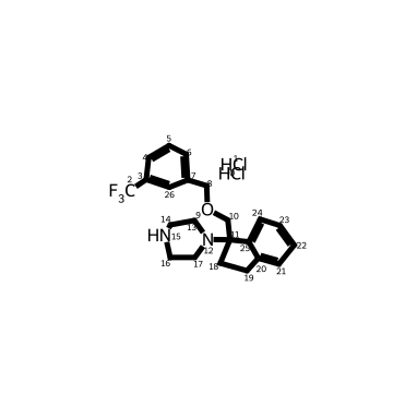 Cl.Cl.FC(F)(F)c1cccc(COCC2(N3CCNCC3)CCc3ccccc32)c1